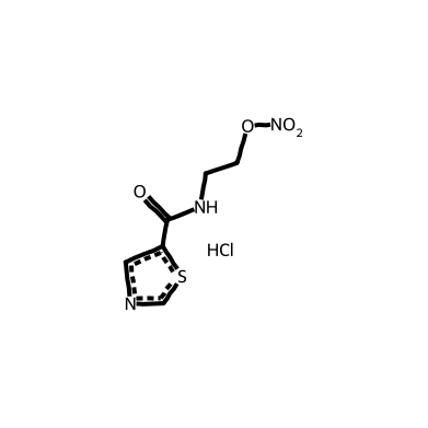 Cl.O=C(NCCO[N+](=O)[O-])c1cncs1